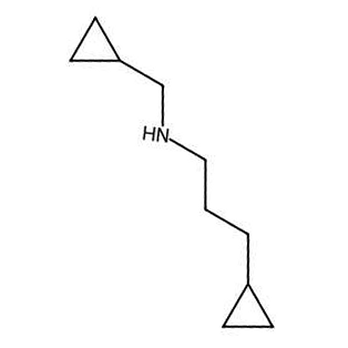 C(CNCC1CC1)CC1CC1